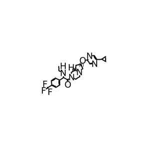 CCNC(C(=O)N1CCN2C[C@H](Oc3cnc(C4CC4)cn3)C[C@H]2C1)c1ccc(C(F)(F)F)cc1